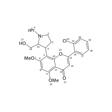 CCCN1CCC(c2c(OC)cc(OC)c3c(=O)cc(-c4ccccc4Cl)oc23)C1CO